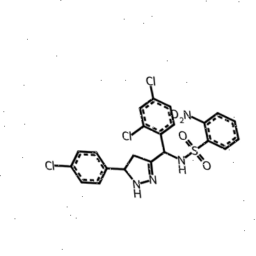 O=[N+]([O-])c1ccccc1S(=O)(=O)NC(C1=NNC(c2ccc(Cl)cc2)C1)c1ccc(Cl)cc1Cl